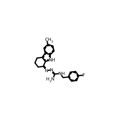 Cc1ccc2[nH]c3c(c2c1)CCC/C3=N/N=C(\N)NCc1ccc(F)cc1